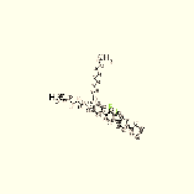 CCCCCCCCCCCCC1(CCCCCCCC)C=CC(c2ccc(-c3ccc(-c4ccccc4)cc3)c(F)c2F)=CC1